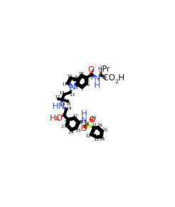 CC(C)[C@H](NC(=O)c1ccc2c(ccn2CCC(C)(C)NC[C@@H](O)c2cccc(NS(=O)(=O)c3ccccc3)c2)c1)C(=O)O